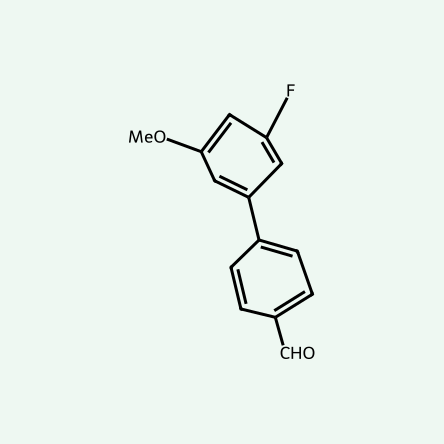 COc1cc(F)cc(-c2ccc(C=O)cc2)c1